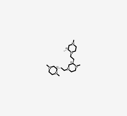 C[C@@H]1CN(C)CCN1CC[C@@H]1CN(CC[C@H]2CN(C)CCN2C)CCN1C